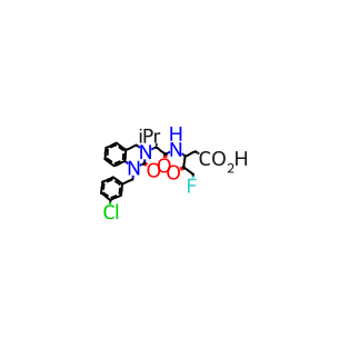 CC(C)[C@@H](C(=O)NC(CC(=O)O)C(=O)CF)N1Cc2ccccc2N(Cc2cccc(Cl)c2)C1=O